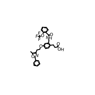 Cc1oc(-c2ccccc2)nc1CCOc1ccc(CCC(=O)O)c(CNC(=O)c2ccccc2OC(F)(F)F)c1